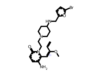 C=C/C(=C\c1c(N)ccc(=O)n1CCN1CCC(NCc2ccc(Br)o2)CC1)OC